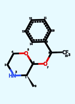 C[C@@H]1NCCOC1OC(c1ccccc1)C(F)(F)F